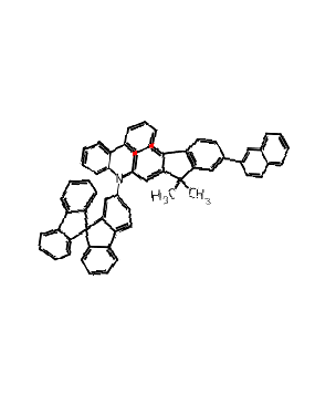 CC1(C)c2cc(-c3ccc4ccccc4c3)ccc2-c2ccc(N(c3ccc4c(c3)C3(c5ccccc5-c5ccccc53)c3ccccc3-4)c3ccccc3-c3ccccc3)cc21